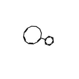 C1=CC=CCCCCC(c2ccccc2)=CC=C1